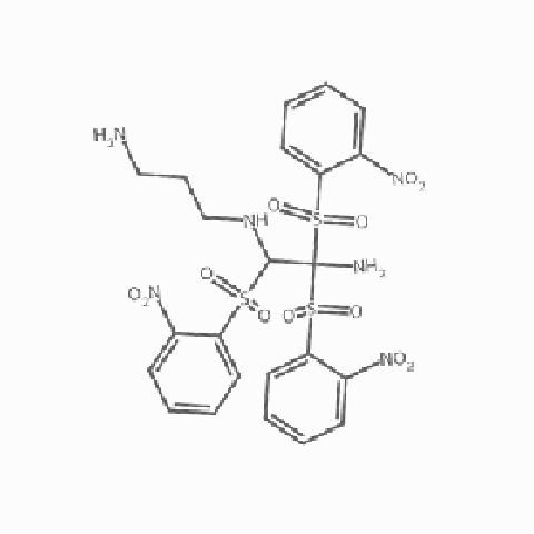 NCCCNC(C(N)(S(=O)(=O)c1ccccc1[N+](=O)[O-])S(=O)(=O)c1ccccc1[N+](=O)[O-])S(=O)(=O)c1ccccc1[N+](=O)[O-]